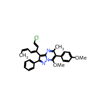 C\C=C/C=C(\C=C\Cl)c1c(-c2ccccc2)nn2c(OC)c(-c3ccc(OC)cc3)c(C)nc12